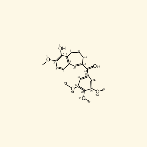 COc1ccc2c(c1O)CCCC(C(=O)c1cc(OC)c(OC)c(OC)c1)=C2